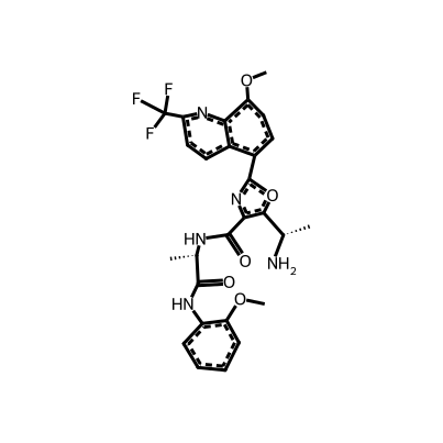 COc1ccccc1NC(=O)[C@H](C)NC(=O)c1nc(-c2ccc(OC)c3nc(C(F)(F)F)ccc23)oc1[C@H](C)N